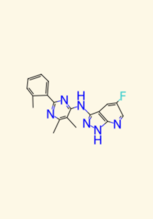 Cc1ccccc1-c1nc(C)c(C)c(Nc2n[nH]c3ncc(F)cc23)n1